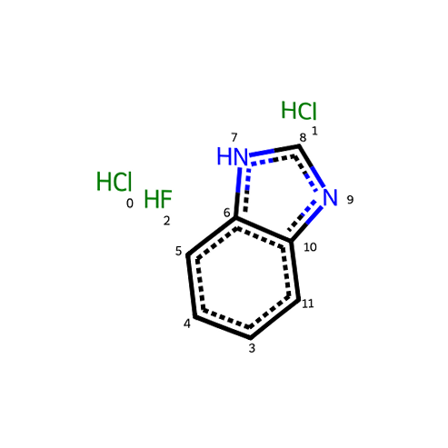 Cl.Cl.F.c1ccc2[nH]cnc2c1